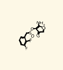 NC1=C(OS(=O)Cc2cccc(F)c2F)C(=O)CO1